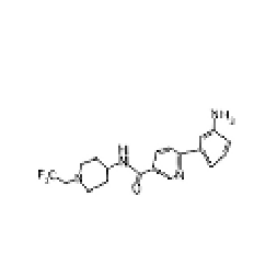 Nc1cccc(-c2ccc(C(=O)NC3CCN(CC(F)(F)F)CC3)cn2)c1